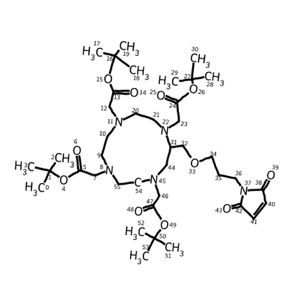 CC(C)(C)OC(=O)CN1CCN(CC(=O)OC(C)(C)C)CCN(CC(=O)OC(C)(C)C)C(COCCCN2C(=O)C=CC2=O)CN(CC(=O)OC(C)(C)C)CC1